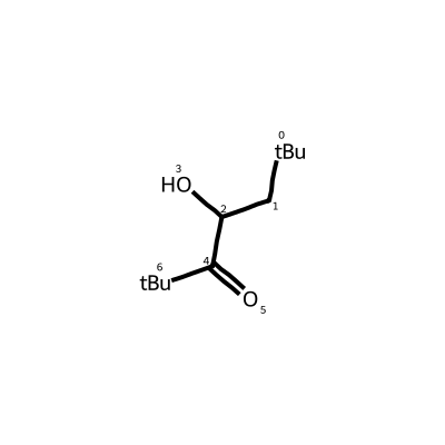 CC(C)(C)CC(O)C(=O)C(C)(C)C